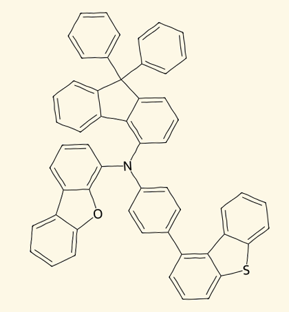 c1ccc(C2(c3ccccc3)c3ccccc3-c3c(N(c4ccc(-c5cccc6sc7ccccc7c56)cc4)c4cccc5c4oc4ccccc45)cccc32)cc1